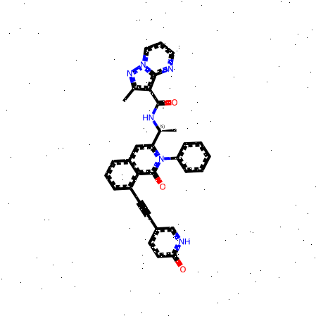 Cc1nn2cccnc2c1C(=O)N[C@@H](C)c1cc2cccc(C#Cc3ccc(=O)[nH]c3)c2c(=O)n1-c1ccccc1